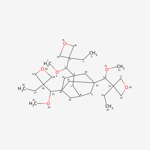 CCC1(C(OC)C23CC4CC(C(OC)C5(CC)COC5)(C2)CC(C(OC)C2(CC)COC2)(C4)C3)COC1